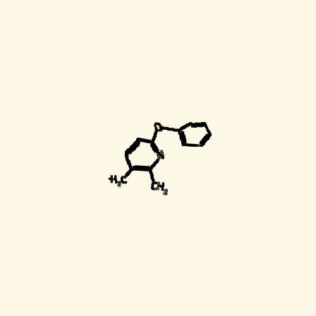 [CH2]c1ccc(Oc2ccccc2)nc1C